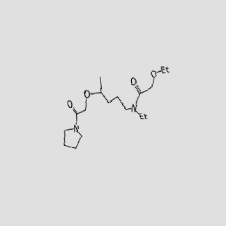 CCOCC(=O)N(CC)CCCC(C)OCC(=O)N1CCCC1